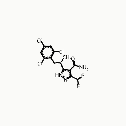 C[C@H](Cc1c(Cl)cc(Cl)cc1Cl)c1[nH]nc(C(F)F)c1C(N)=O